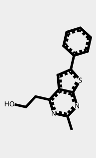 Cc1nc(CCO)c2cc(-c3ccccc3)sc2n1